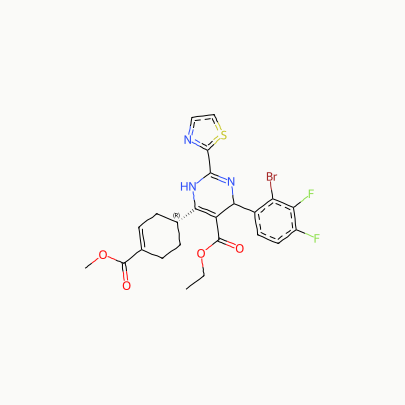 CCOC(=O)C1=C([C@H]2CC=C(C(=O)OC)CC2)NC(c2nccs2)=NC1c1ccc(F)c(F)c1Br